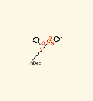 CCCCCCCCCCCCCCCCOC[C@H](COS(=O)(=O)c1ccc(C)cc1)OCc1ccccc1